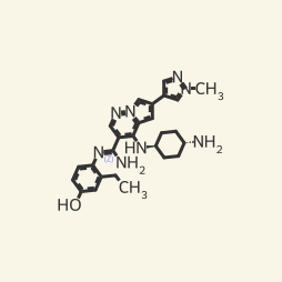 CCc1cc(O)ccc1/N=C(\N)c1cnn2cc(-c3cnn(C)c3)cc2c1N[C@H]1CC[C@H](N)CC1